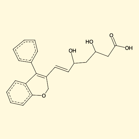 O=C(O)CC(O)CC(O)/C=C/C1=C(c2ccccc2)c2ccccc2OC1